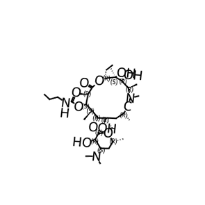 CCCNC(=O)O[C@H]1[C@H](C)[C@@H](O[C@@H]2O[C@H](C)C[C@H](N(C)C)[C@H]2O)[C@](C)(O)C[C@@H](C)CN(C)[C@H](C)[C@@H](O)[C@](C)(O)[C@@H](CC)OC(=O)[C@@H]1C